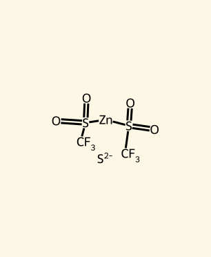 O=[S](=O)([Zn][S](=O)(=O)C(F)(F)F)C(F)(F)F.[S-2]